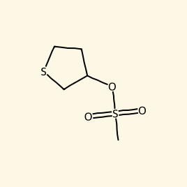 CS(=O)(=O)OC1CCSC1